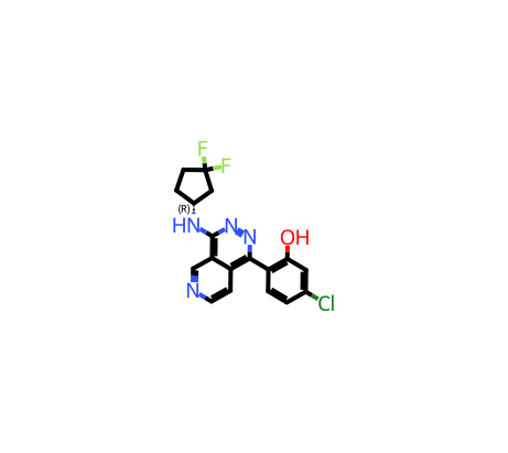 Oc1cc(Cl)ccc1-c1nnc(N[C@@H]2CCC(F)(F)C2)c2cnccc12